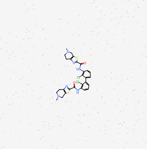 CN1CCc2nc(C(=O)Nc3cccc(-c4cccc(NC(=O)c5nc6c(s5)CN(C)CC6)c4Cl)c3Cl)sc2C1